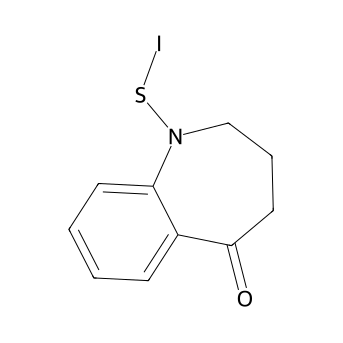 O=C1CCCN(SI)c2ccccc21